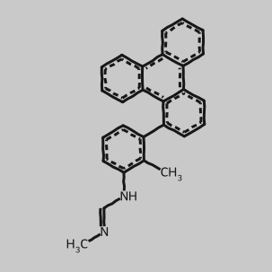 C/N=C/Nc1cccc(-c2cccc3c4ccccc4c4ccccc4c23)c1C